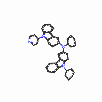 c1ccc(N(c2ccc3c(c2)c2ccccc2n3-c2ccccc2)c2ccc3c(c2)c2ccccc2n3-c2ccncc2)cc1